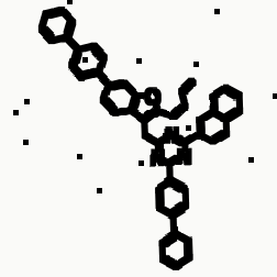 C=C/C=C\c1oc2cc(-c3ccc(-c4ccccc4)cc3)ccc2c1Cc1nc(-c2ccc(-c3ccccc3)cc2)nc(-c2ccc3ccccc3c2)n1